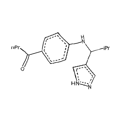 CCCC(=O)c1ccc(NC(c2cn[nH]c2)C(C)C)cc1